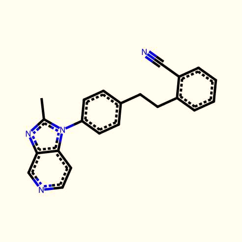 Cc1nc2cnccc2n1-c1ccc(CCc2ccccc2C#N)cc1